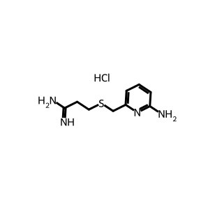 Cl.N=C(N)CCSCc1cccc(N)n1